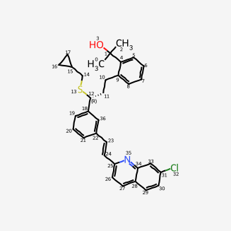 CC(C)(O)c1ccccc1CC[C@@H](SCC1CC1)c1cccc(C=Cc2ccc3ccc(Cl)cc3n2)c1